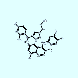 Cc1nc(Cl)ccc1[C@H](Nc1cc(Cl)c2ncc(C#N)c(Nc3ccc(F)c(Cl)c3)c2c1)c1cn(CCO)nn1